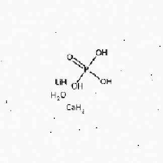 O.O=P(O)(O)O.[CaH2].[LiH]